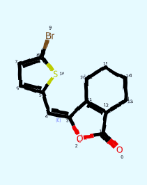 O=C1O/C(=C/c2ccc(Br)s2)C2=C1CCCC2